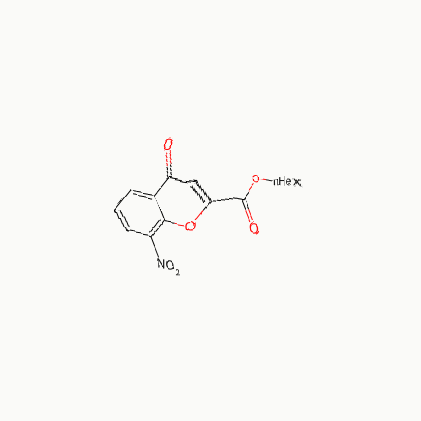 CCCCCCOC(=O)c1cc(=O)c2cccc([N+](=O)[O-])c2o1